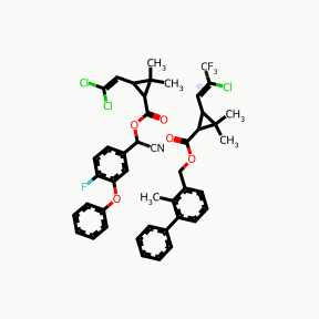 CC1(C)C(C=C(Cl)Cl)C1C(=O)OC(C#N)c1ccc(F)c(Oc2ccccc2)c1.Cc1c(COC(=O)C2C(/C=C(\Cl)C(F)(F)F)C2(C)C)cccc1-c1ccccc1